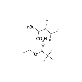 CCCCC(C(=O)O)C(F)C(F)F.CCOC(=O)C(C)(C)C